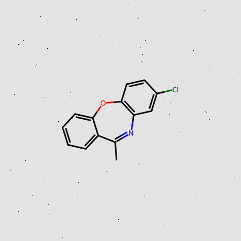 CC1=Nc2cc(Cl)ccc2Oc2ccccc21